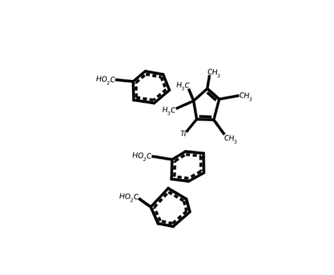 CC1=C(C)C(C)(C)[C]([Ti])=C1C.O=C(O)c1ccccc1.O=C(O)c1ccccc1.O=C(O)c1ccccc1